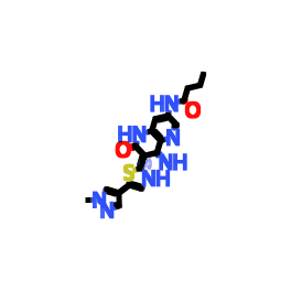 CCCC(=O)Nc1cnc2c(c1)NC(=O)/C(=C1/NC=C(c3cnn(C)c3)S1)C2=N